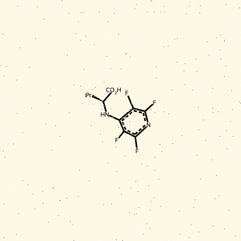 CC(C)[C@H](Nc1c(F)c(F)nc(F)c1F)C(=O)O